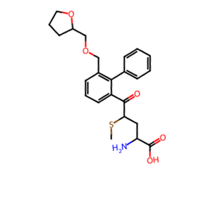 CSC(CC(N)C(=O)O)C(=O)c1cccc(COCC2CCCO2)c1-c1ccccc1